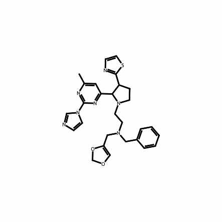 Cc1cc(C2C(c3nccs3)CCN2CCN(CC2=COCO2)Cc2ccccc2)nc(-n2ccnc2)n1